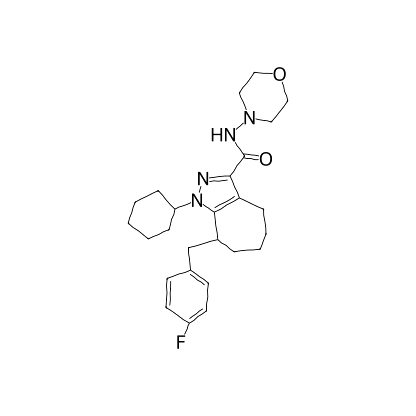 O=C(NN1CCOCC1)c1nn(C2CCCCC2)c2c1CCCCC2Cc1ccc(F)cc1